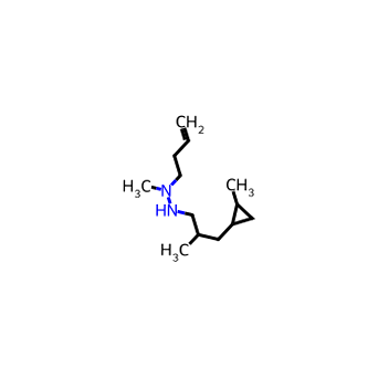 C=CCCN(C)NCC(C)CC1CC1C